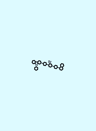 Brc1cc(-c2ccc(-c3cccc4ccccc34)cc2)ccc1-c1ccc(-c2ccc3c4ccccc4n(-c4ccccc4)c3c2)cc1